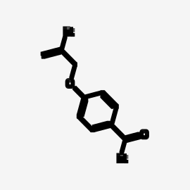 C=C(CC)COc1ccc(C(=O)CC)cc1